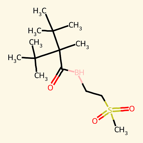 CC(C)(C)C(C)(C(=O)BCCS(C)(=O)=O)C(C)(C)C